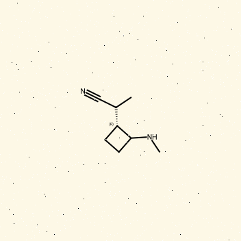 CNC1CC[C@@H]1C(C)C#N